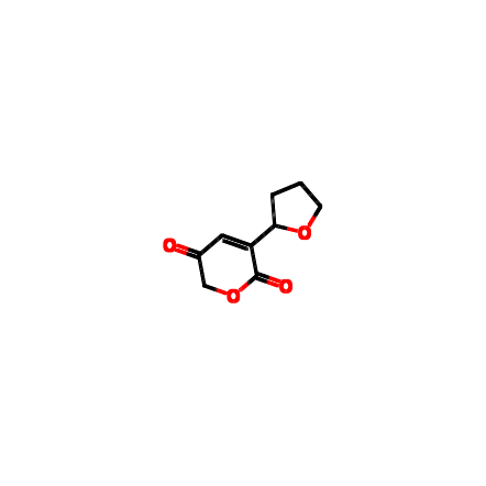 O=C1C=C(C2CCCO2)C(=O)OC1